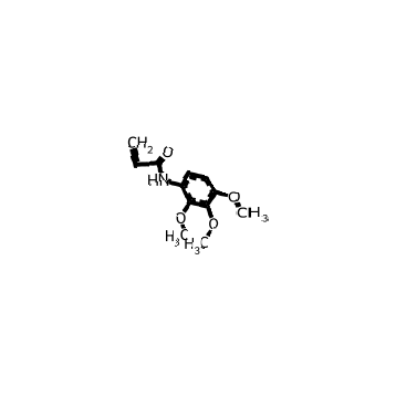 C=CC(=O)Nc1ccc(OC)c(OC)c1OC